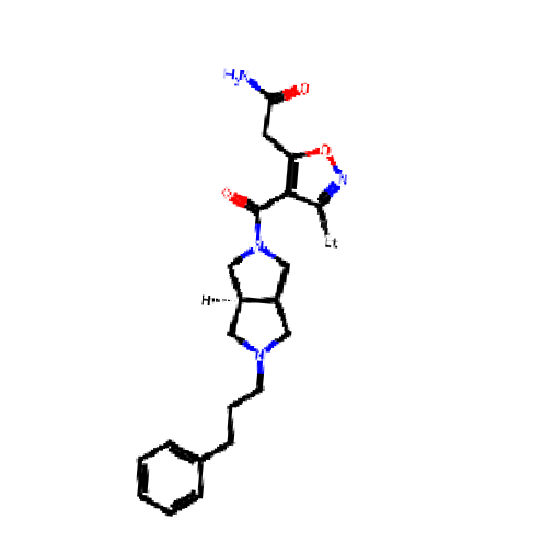 CCc1noc(CC(N)=O)c1C(=O)N1CC2CN(CC[CH]c3ccccc3)C[C@H]2C1